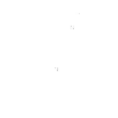 CC1[CH]CCN(c2cc[n+]([O-])cc2)C1